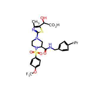 CCCc1ccc(CNC(=O)C2CN(c3nc(C)c(C(O)C(=O)O)s3)CCN2S(=O)(=O)c2ccc(OC(F)(F)F)cc2)cc1